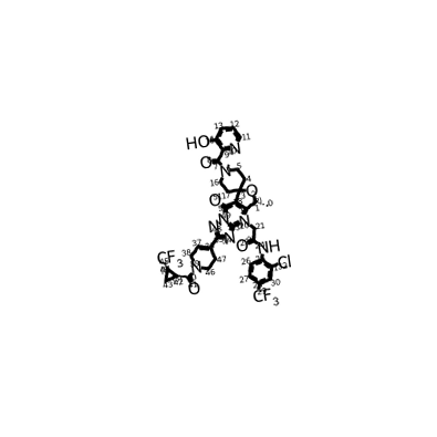 C[C@H]1OC2(CCN(C(=O)c3ncccc3O)CC2)c2c1n(CC(=O)Nc1ccc(C(F)(F)F)cc1Cl)c1nc(C3=CCN(C(=O)[C@H]4C[C@@H]4C(F)(F)F)CC3)nn1c2=O